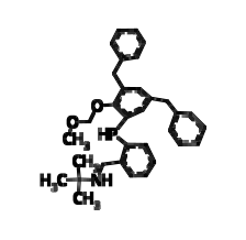 COCOc1c(Cc2ccccc2)cc(Cc2ccccc2)cc1Pc1ccccc1CNC(C)(C)C